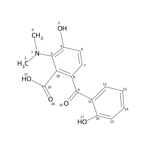 CN(C)c1c(O)ccc(C(=O)c2ccccc2O)c1C(=O)O